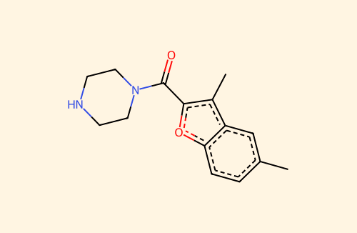 Cc1ccc2oc(C(=O)N3CCNCC3)c(C)c2c1